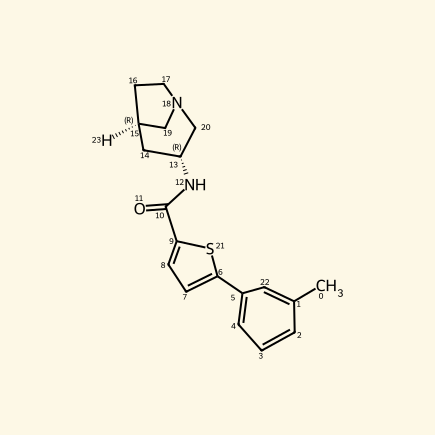 Cc1cccc(-c2ccc(C(=O)N[C@@H]3C[C@H]4CCN(C4)C3)s2)c1